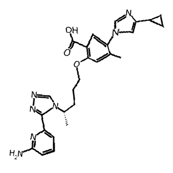 Cc1cc(OCCC[C@H](C)n2cnnc2-c2cccc(N)n2)c(C(=O)O)cc1-n1cnc(C2CC2)c1